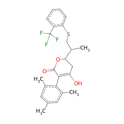 Cc1cc(C)c(C2=C(O)CC(C(C)CSc3ccccc3C(F)(F)F)OC2=O)c(C)c1